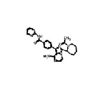 CC(=O)N1CCCCCC1c1nc(-c2ccc(C(=O)Nc3ccccn3)cc2)c2c(N)nccn12